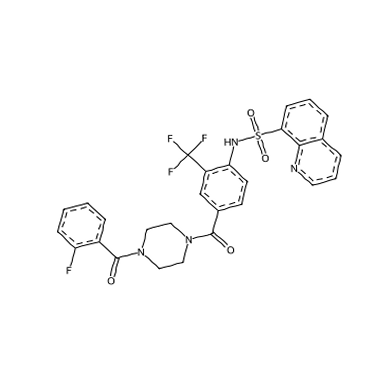 O=C(c1ccc(NS(=O)(=O)c2cccc3cccnc23)c(C(F)(F)F)c1)N1CCN(C(=O)c2ccccc2F)CC1